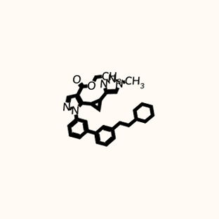 CCOC(=O)c1cnn(-c2cccc(-c3cccc(CCC4CCCCC4)c3)c2)c1C1CC1c1cn(C)nn1